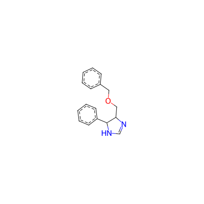 C1=NC(COCc2ccccc2)C(c2ccccc2)N1